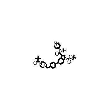 CC(C)(C)OC(=O)n1cc(C(=O)Nc2ccncc2)c2cc(-c3ccc(CN4CCN(C(=O)C(C)(C)C)CC4)cc3)ccc21